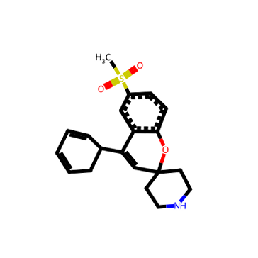 CS(=O)(=O)c1ccc2c(c1)C(C1C=CC=CC1)=CC1(CCNCC1)O2